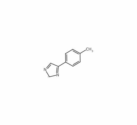 Cc1ccc(C2=N[C]N=C2)cc1